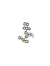 CC1(C)c2ccc(-c3c4sc5ccccc5c4cc4sc5ccccc5c34)cc2-c2ccc(-c3c4ccccc4c(-c4cccc5ccccc45)c4ccccc34)cc21